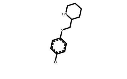 Clc1ccc(SCC2CCCCN2)cc1